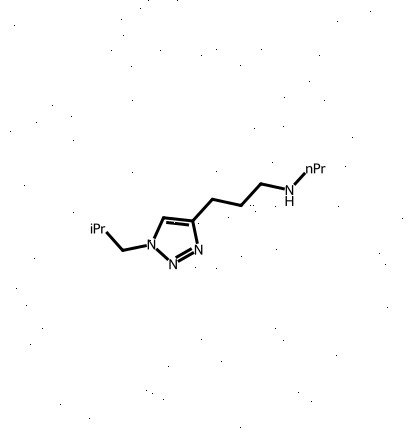 CCCNCCCc1cn(CC(C)C)nn1